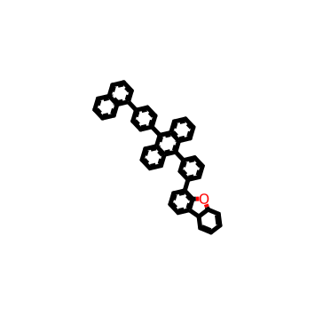 C1=CC2Oc3c(-c4cccc(-c5c6ccccc6c(-c6ccc(-c7cccc8ccccc78)cc6)c6ccccc56)c4)cccc3C2C=C1